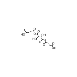 O=C(O)CCC(=O)OC(=O)C(O)C(O)C(=O)OC(=O)CCC(=O)O